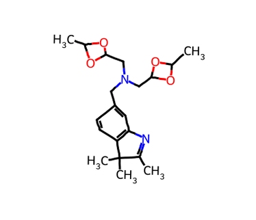 CC1=Nc2cc(CN(CC3OC(C)O3)CC3OC(C)O3)ccc2C1(C)C